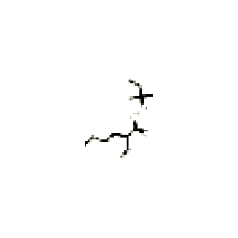 [CH2]CC(C)(C)OOC(=O)C(CC)CCCC